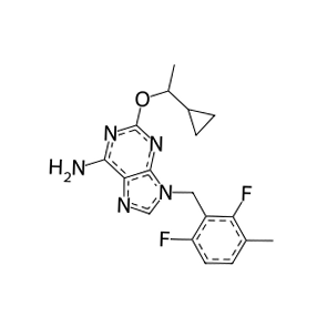 Cc1ccc(F)c(Cn2cnc3c(N)nc(OC(C)C4CC4)nc32)c1F